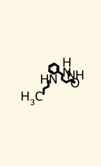 CCCCCNc1ccccc1C1CCC(=O)NN1